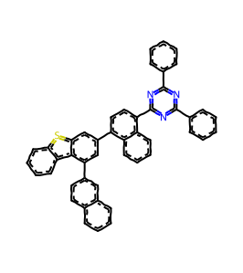 c1ccc(-c2nc(-c3ccccc3)nc(-c3ccc(-c4cc(-c5ccc6ccccc6c5)c5c(c4)sc4ccccc45)c4ccccc34)n2)cc1